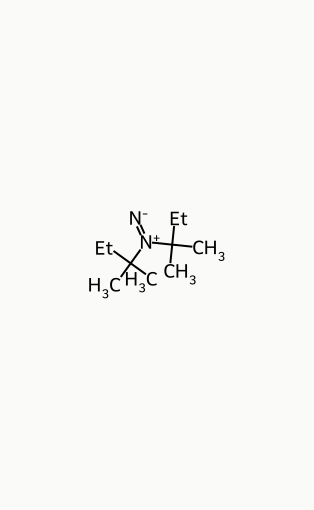 CCC(C)(C)[N+](=[N-])C(C)(C)CC